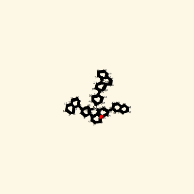 c1ccc(-c2ccc(-c3cccc4ccccc34)cc2N(c2ccc(-c3ccc4c(ccc5ccccc54)c3)cc2)c2cccc(-c3ccc4ccccc4c3)c2)cc1